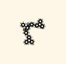 c1ccc(-c2c3oc4ccc(-c5ccc6c7ccccc7c7ccccc7c6c5)cc4c3cc3c2oc2ccc(-c4ccc5c6ccccc6c6ccccc6c5c4)cc23)cc1